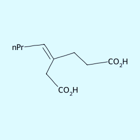 CCCC=C(CCC(=O)O)CC(=O)O